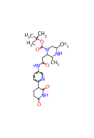 CC1CN(C(=O)OC(C)(C)C)C(CC(=O)Nc2ccc(C3CCC(=O)NC3=O)nc2)C(C)N1